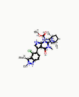 CCn1nc2ccc(-c3c[nH]c4nc(N5[C@H]6CC[C@@H]5[C@H](NC(=O)OC(C)(C)C)C6)n(C)c(=O)c34)c(Cl)c2c1OC